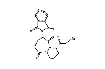 CCC(C)OC(=O)[C@@H]1CCCN2C(=O)CC[C@H](N3C(=O)c4ccccc4C3=O)C(=O)N12